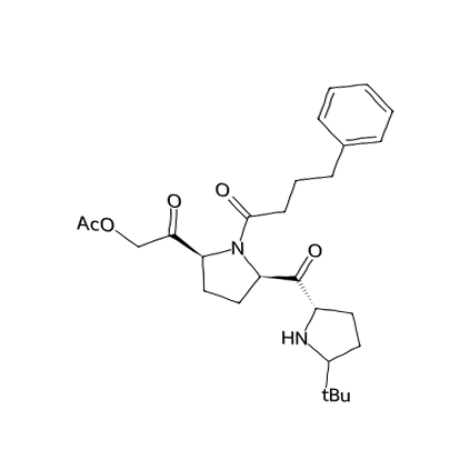 CC(=O)OCC(=O)[C@@H]1CC[C@H](C(=O)[C@@H]2CCC(C(C)(C)C)N2)N1C(=O)CCCc1ccccc1